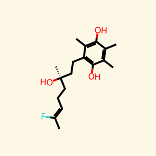 C/C(F)=C/CC[C@@](C)(O)CCc1c(C)c(O)c(C)c(C)c1O